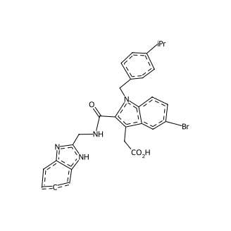 CC(C)c1ccc(Cn2c(C(=O)NCc3nc4ccccc4[nH]3)c(CC(=O)O)c3cc(Br)ccc32)cc1